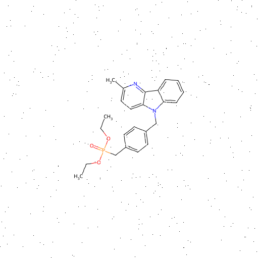 CCOP(=O)(Cc1ccc(Cn2c3ccccc3c3nc(C)ccc32)cc1)OCC